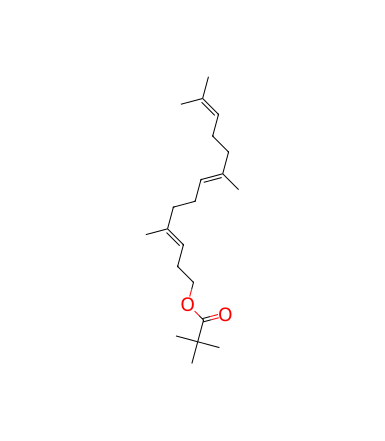 CC(C)=CCCC(C)=CCCC(C)=CCCOC(=O)C(C)(C)C